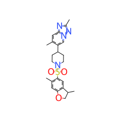 Cc1nc2cc(C)c(C3CCN(S(=O)(=O)c4cc5c(cc4C)OCC5C)CC3)cn2n1